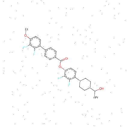 CCCC(O)C1CCC(c2ccc(OC(=O)c3ccc(-c4ccc(OCC)c(F)c4F)cc3)c(F)c2F)CC1